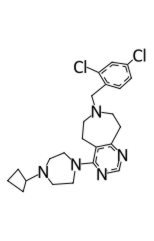 Clc1ccc(CN2CCc3ncnc(N4CCN(C5CCC5)CC4)c3CC2)c(Cl)c1